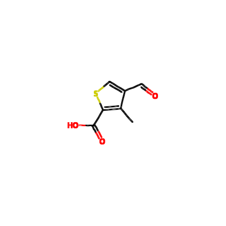 Cc1c(C=O)csc1C(=O)O